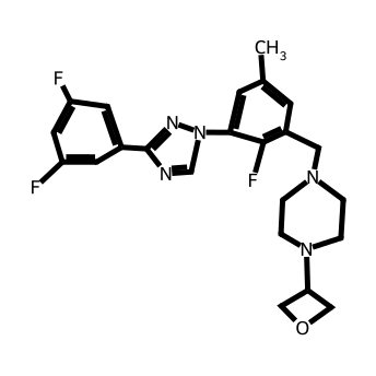 Cc1cc(CN2CCN(C3COC3)CC2)c(F)c(-n2cnc(-c3cc(F)cc(F)c3)n2)c1